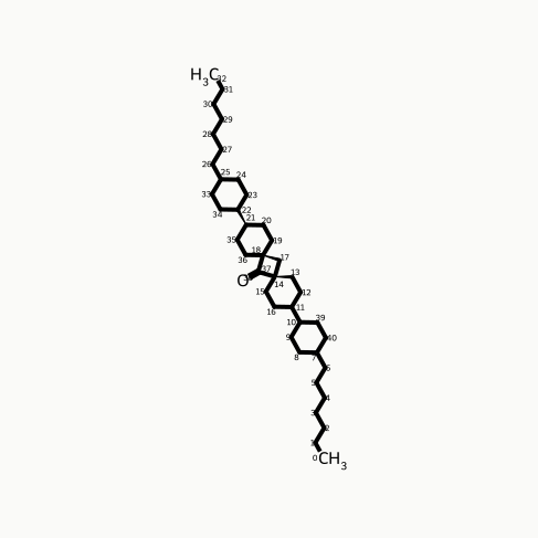 CCCCCCCC1CCC(C2CC[C@]3(CC2)C[C@@]2(CC[C@H](C4CCC(CCCCCCC)CC4)CC2)C3=O)CC1